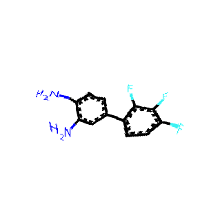 Nc1ccc(-c2ccc(F)c(F)c2F)cc1N